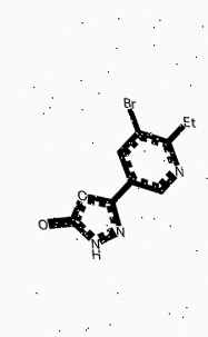 CCc1ncc(-c2n[nH]c(=O)o2)cc1Br